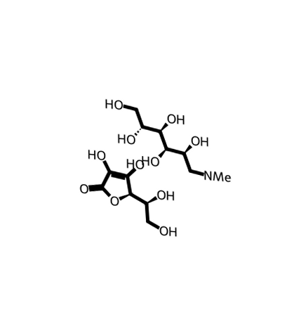 CNC[C@H](O)[C@@H](O)[C@H](O)[C@H](O)CO.O=C1O[C@H]([C@@H](O)CO)C(O)=C1O